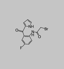 O=C(CBr)Nc1ccc(F)cc1C(=O)c1ccc[nH]1